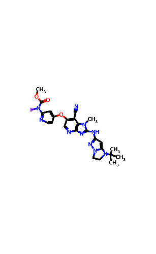 COC(=O)N(I)c1cc(Oc2cnc3nc(Nc4cc5n(n4)CCN5C(C)(C)C)n(C)c3c2C#N)ccn1